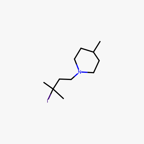 CC1CCN(CCC(C)(C)I)CC1